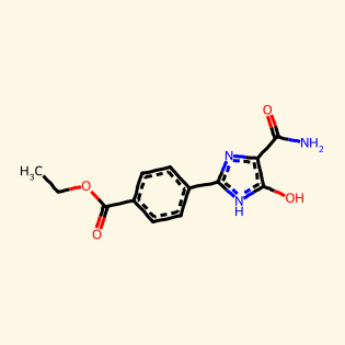 CCOC(=O)c1ccc(-c2nc(C(N)=O)c(O)[nH]2)cc1